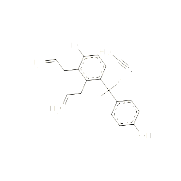 C=CCc1c(O)ccc(C(C)(C)c2ccc(O)cc2)c1CC=C.N#CO